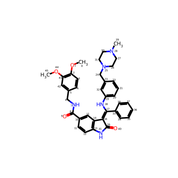 COc1ccc(CNC(=O)c2ccc3c(c2)C(=C(Nc2cccc(CN4CCN(C)CC4)c2)c2ccccc2)C(=O)N3)cc1OC